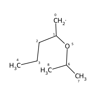 [CH2]C(CCC)OC(C)C